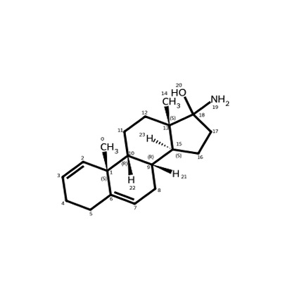 C[C@]12C=CCCC1=CC[C@@H]1[C@H]2CC[C@@]2(C)[C@H]1CCC2(N)O